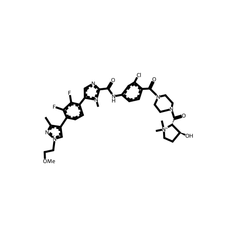 COCCn1cc(-c2ccc(-c3cnc(C(=O)Nc4ccc(C(=O)N5CCN(C(=O)[C@@H]6[C@@H](O)CC[N+]6(C)C)CC5)c(Cl)c4)n3C)c(F)c2F)c(C)n1